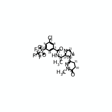 C[C@H](NC(=O)c1cc(Cl)cc(S(=O)(=O)C(F)(F)F)c1)c1ncnn1C1=NN(C)C(=O)CC1